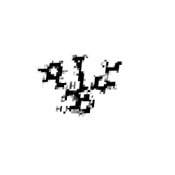 C=CC(=O)N1CC(n2c(C#CC3CC3)c(C(=O)NCc3cccc(F)c3F)c3c(N)ncnc32)CC1C